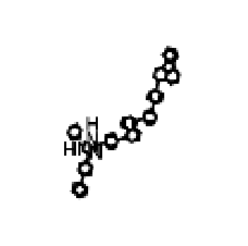 c1ccc(-c2ccc(C3N=C(c4ccc(-c5cccc6c(-c7cccc(-c8ccc(-c9ccc%10c%11c(cccc9%11)-c9ccccc9-%10)cc8)c7)cccc56)cc4)N[C@@H](c4ccccc4)N3)cc2)cc1